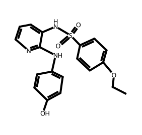 CCOc1ccc(S(=O)(=O)Nc2cccnc2Nc2ccc(O)cc2)cc1